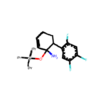 CC(C)[Si](OC1(N)C=CCCC1c1cc(F)c(F)cc1F)(C(C)C)C(C)C